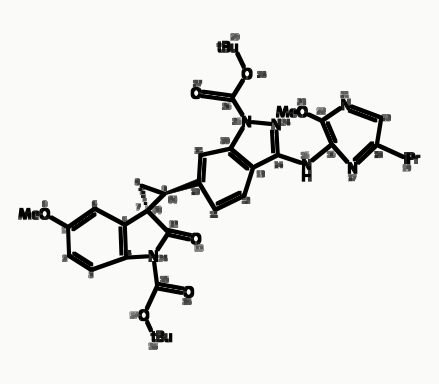 COc1ccc2c(c1)[C@]1(C[C@H]1c1ccc3c(Nc4nc(C(C)C)cnc4OC)nn(C(=O)OC(C)(C)C)c3c1)C(=O)N2C(=O)OC(C)(C)C